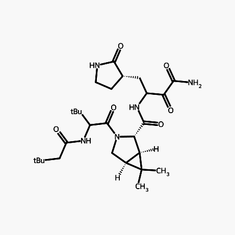 CC(C)(C)CC(=O)NC(C(=O)N1C[C@H]2[C@@H]([C@H]1C(=O)NC(C[C@@H]1CCNC1=O)C(=O)C(N)=O)C2(C)C)C(C)(C)C